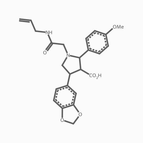 C=CCNC(=O)CN1CC(c2ccc3c(c2)OCO3)C(C(=O)O)C1c1ccc(OC)cc1